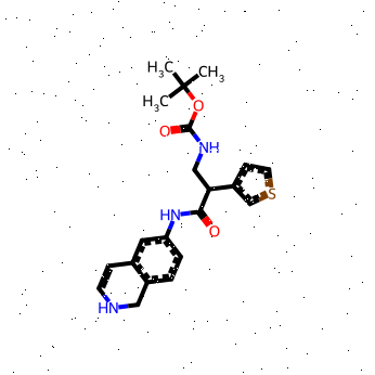 CC(C)(C)OC(=O)NCC(C(=O)Nc1ccc2c(c1)C=CNC2)c1ccsc1